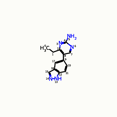 CCc1nc(N)ncc1-c1ccc2[nH]ncc2c1